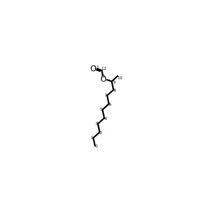 CCCCCCCCCC(C)OC=O